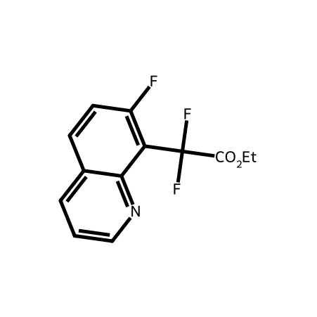 CCOC(=O)C(F)(F)c1c(F)ccc2cccnc12